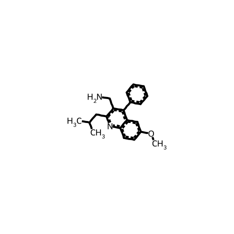 COc1ccc2nc(CC(C)C)c(CN)c(-c3ccccc3)c2c1